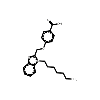 CCCCCCCn1c(COc2ccc(C(=O)O)cc2)nc2ccccc21